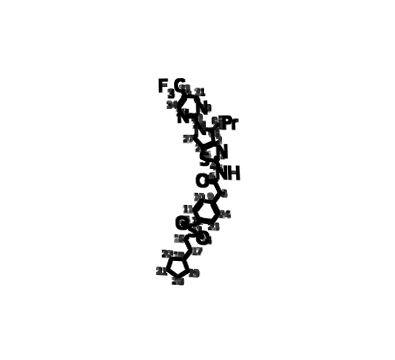 CC(C)[C@H]1c2nc(NC(=O)Cc3ccc(S(=O)(=O)CCC4CCCC4)cc3)sc2CN1c1ncc(C(F)(F)F)cn1